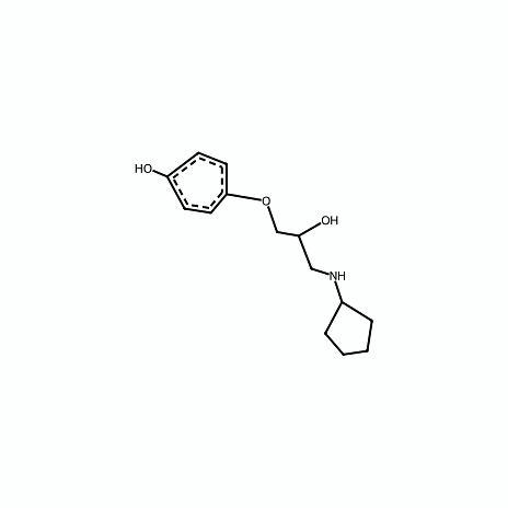 Oc1ccc(OCC(O)CNC2CCCC2)cc1